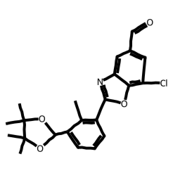 Cc1c(-c2nc3cc(C=O)cc(Cl)c3o2)cccc1C1OC(C)(C)C(C)(C)O1